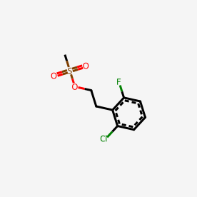 CS(=O)(=O)OCCc1c(F)cccc1Cl